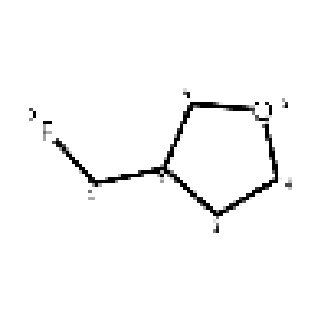 FCC1CCOC1